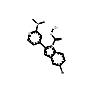 CN(C)c1cc(-c2cc3cc(Br)ccc3n2C(=O)OC(C)(C)C)ccn1